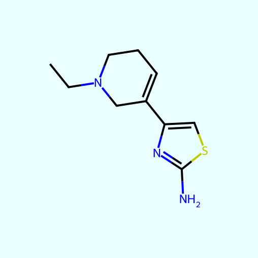 CCN1CCC=C(c2csc(N)n2)C1